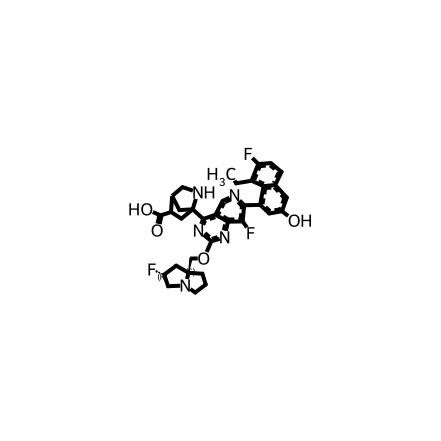 CCc1c(F)ccc2cc(O)cc(-c3ncc4c(C56CC(CN5)C(C(=O)O)C6)nc(OC[C@@]56CCCN5C[C@H](F)C6)nc4c3F)c12